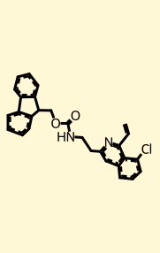 C=Cc1nc(CCNC(=O)OCC2c3ccccc3-c3ccccc32)cc2cccc(Cl)c12